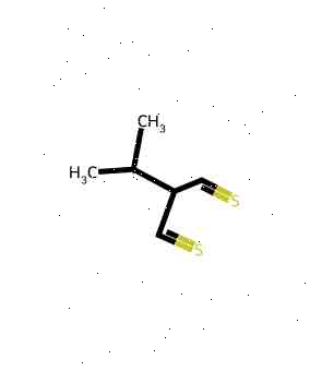 C[C](C)C(C=S)C=S